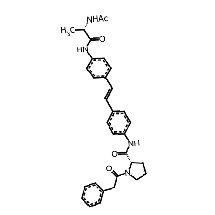 CC(=O)N[C@@H](C)C(=O)Nc1ccc(/C=C/c2ccc(NC(=O)[C@@H]3CCCN3C(=O)Cc3ccccc3)cc2)cc1